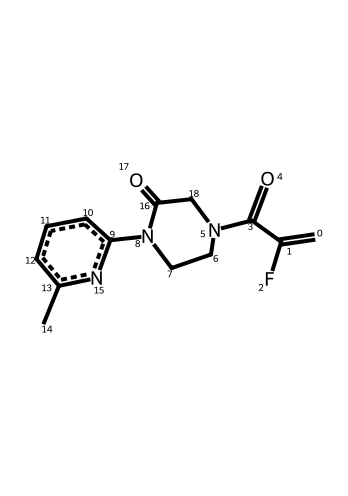 C=C(F)C(=O)N1CCN(c2cccc(C)n2)C(=O)C1